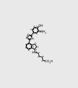 Nc1cc(-c2nc(-c3cccc4c3CCC4NCCCCC(=O)O)no2)ccc1O